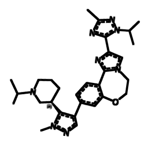 Cc1nc(-c2cn3c(n2)-c2ccc(-c4cnn(C)c4[C@@H]4CCCN(C(C)C)C4)cc2OCC3)n(C(C)C)n1